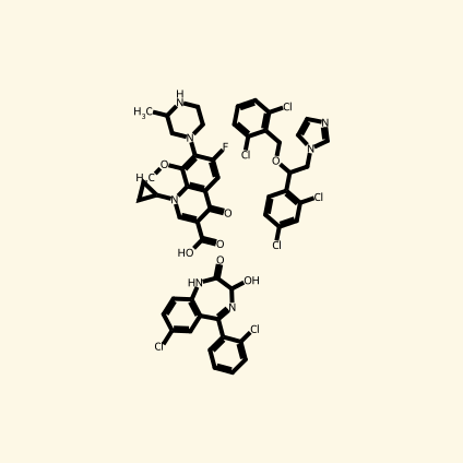 COc1c(N2CCNC(C)C2)c(F)cc2c(=O)c(C(=O)O)cn(C3CC3)c12.Clc1ccc(C(Cn2ccnc2)OCc2c(Cl)cccc2Cl)c(Cl)c1.O=C1Nc2ccc(Cl)cc2C(c2ccccc2Cl)=NC1O